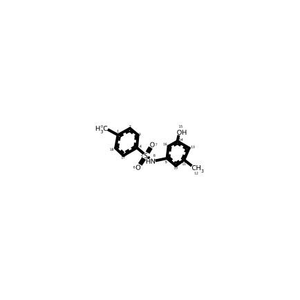 Cc1ccc(S(=O)(=O)Nc2cc(C)cc(O)c2)cc1